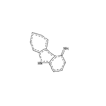 N=c1cccc2[nH]c3cccccc3c12